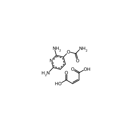 NC(=O)Oc1ccc(N)nc1N.O=C(O)/C=C\C(=O)O